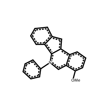 COc1cccc2c3cc4ccccc4c-3n(-c3ccccc3)cc12